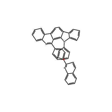 c1ccc(-n2c3ccccc3c3ccc4c5ccccc5nc(-c5ccc(-c6ccc7ccccc7n6)cc5)c4c32)cc1